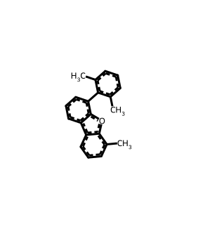 Cc1cccc(C)c1-c1cccc2c1oc1c(C)cccc12